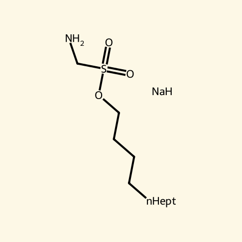 CCCCCCCCCCCOS(=O)(=O)CN.[NaH]